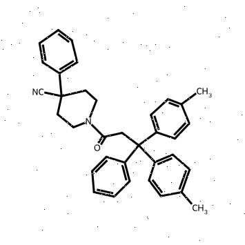 Cc1ccc(C(CC(=O)N2CCC(C#N)(c3ccccc3)CC2)(c2ccccc2)c2ccc(C)cc2)cc1